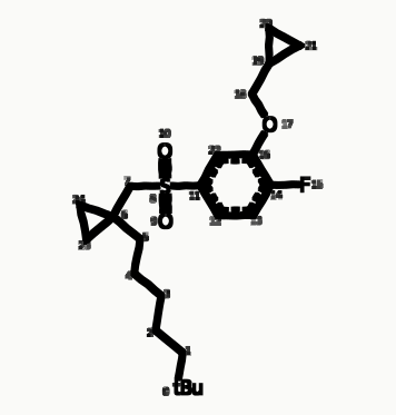 CC(C)(C)CCCCCC1(CS(=O)(=O)c2ccc(F)c(OCC3CC3)c2)CC1